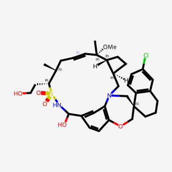 CO[C@@]1(C)/C=C/C[C@H](C)[C@@H](CCO)S(=O)(=O)NC(O)c2ccc3c(c2)N(C[C@@H]2CC[C@H]21)C[C@@]1(CCCc2cc(Cl)ccc21)CO3